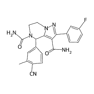 Cc1cc(C2c3c(C(N)=O)c(-c4cccc(F)c4)nn3CCN2C(N)=O)ccc1C#N